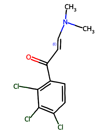 CN(C)/C=C/C(=O)c1ccc(Cl)c(Cl)c1Cl